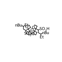 CCCCC(CC)CC(C1(C2(OC3(C4(C(CC(CC)CCCC)S(=O)(=O)O)CCO4)CCO3)CCO2)CCO1)S(=O)(=O)O